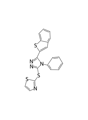 c1ccc(-n2c(Sc3nccs3)nnc2-c2cc3ccccc3s2)cc1